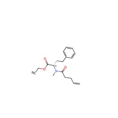 C=CCCC(=O)N(C)[C@@H](CCc1ccccc1)C(=O)OCC#N